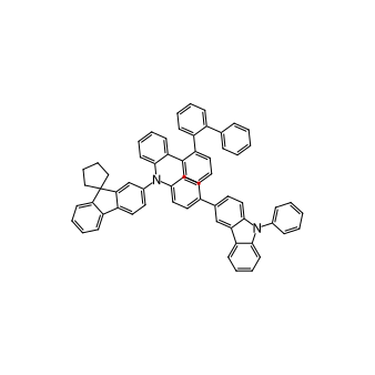 c1ccc(-c2ccccc2-c2ccccc2-c2ccccc2N(c2ccc(-c3ccc4c(c3)c3ccccc3n4-c3ccccc3)cc2)c2ccc3c(c2)C2(CCCC2)c2ccccc2-3)cc1